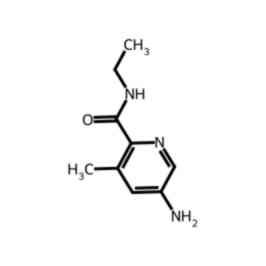 CCNC(=O)c1ncc(N)cc1C